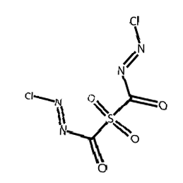 O=C(N=NCl)S(=O)(=O)C(=O)N=NCl